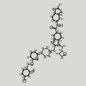 Cc1nc2ccc(NC(=O)c3ccc4c(c3)nc(CN3CCC(c5cccc(OCc6ccc(Cl)cc6F)n5)CC3)n4C[C@@H]3CCO3)cc2s1